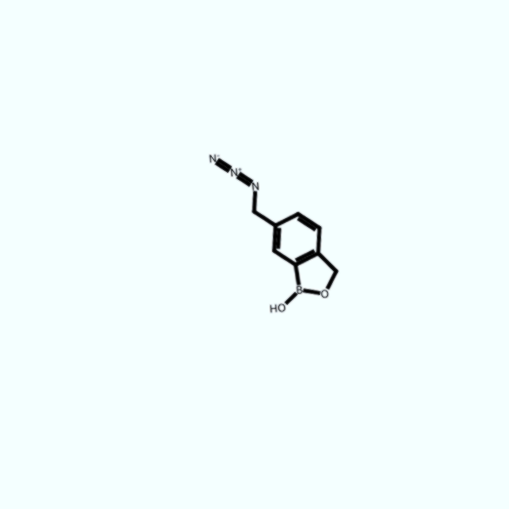 [N-]=[N+]=NCc1ccc2c(c1)B(O)OC2